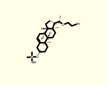 CC(C)CCO[C@@H](C)[C@H]1CC[C@H]2[C@@H]3CC=C4C[C@@H](O[Si](C)(C)C(C)(C)C)CC[C@]4(C)[C@H]3CC[C@]12C